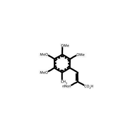 CCCCCCCCC/C(=C\c1c(C)c(OC)c(OC)c(OC)c1OC)C(=O)O